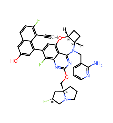 C#Cc1c(F)ccc2cc(O)cc(-c3cc4c5c(nc(OC[C@@]67CCCN6C[C@H](F)C7)nc5c3F)N(Cc3cccnc3N)[C@H]3CC[C@H]3O4)c12